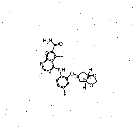 Cc1c(C(N)=O)sc2ncnc(Nc3ccc(F)cc3O[C@H]3C[C@@H]4OCO[C@@H]4C3)c12